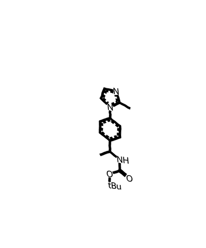 Cc1nccn1-c1ccc(C(C)NC(=O)OC(C)(C)C)cc1